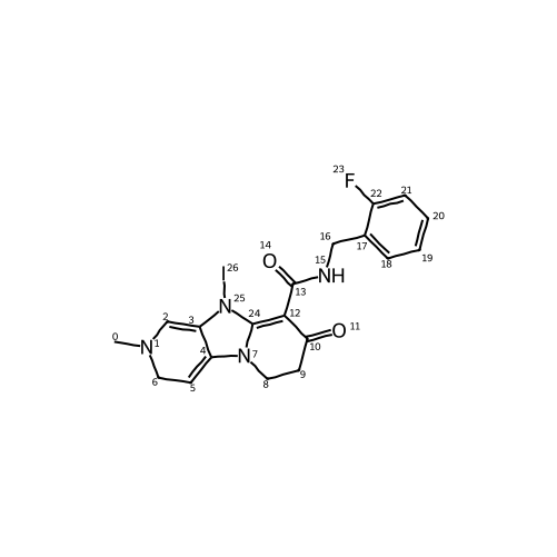 CN1C=C2C(=CC1)N1CCC(=O)C(C(=O)NCc3ccccc3F)=C1N2I